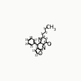 CCCCC1CC(=O)C2=Nc3occc3C(c3ccccc3)C2=N1